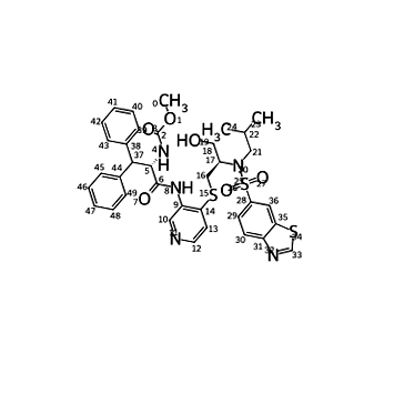 COC(=O)N[C@H](C(=O)Nc1cnccc1SC[C@@H](CO)N(CC(C)C)S(=O)(=O)c1ccc2ncsc2c1)C(c1ccccc1)c1ccccc1